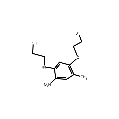 Cc1cc([N+](=O)[O-])c(NCCO)cc1OCCBr